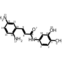 Cc1ccc(NC(=O)C=Cc2cc(N)ccc2N)cc1O